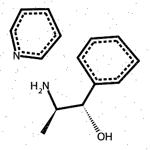 C[C@@H](N)[C@@H](O)c1ccccc1.c1ccncc1